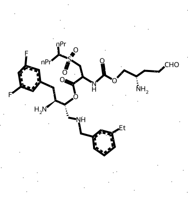 CCCC(CCC)S(=O)(=O)CC(NC(=O)OC[C@@H](N)CCC=O)C(=O)O[C@H](CNCc1cccc(CC)c1)[C@@H](N)Cc1cc(F)cc(F)c1